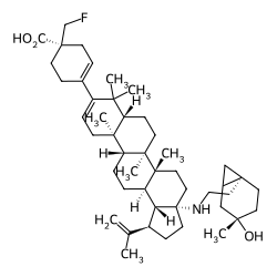 C=C(C)[C@@H]1CC[C@]2(NCC[C@]34CC[C@](C)(O)CC3C4)CC[C@]3(C)[C@H](CC[C@@H]4[C@@]5(C)CC=C(C6=CC[C@@](CF)(C(=O)O)CC6)C(C)(C)[C@@H]5CC[C@]43C)[C@@H]12